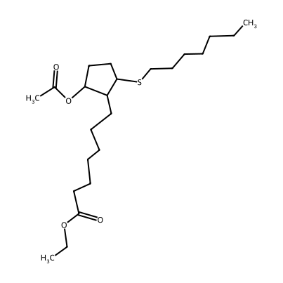 CCCCCCCSC1CCC(OC(C)=O)C1CCCCCCC(=O)OCC